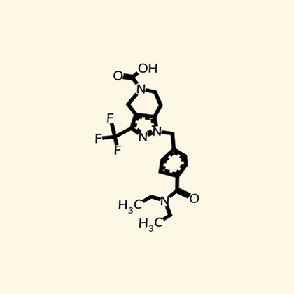 CCN(CC)C(=O)c1ccc(Cn2nc(C(F)(F)F)c3c2CCN(C(=O)O)C3)cc1